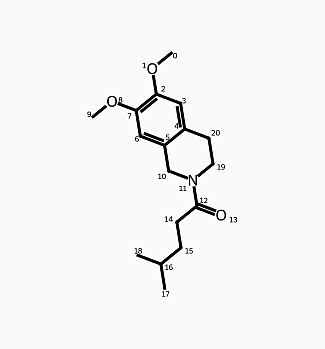 COc1cc2c(cc1OC)CN(C(=O)CCC(C)C)CC2